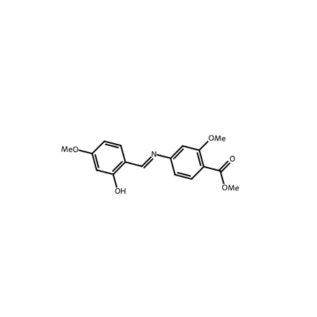 COC(=O)c1ccc(/N=C/c2ccc(OC)cc2O)cc1OC